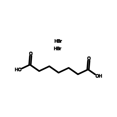 Br.Br.O=C(O)CCCCCC(=O)O